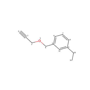 C#CCOCc1cccc(CC)c1